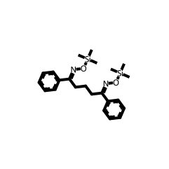 C[Si](C)(C)ON=C(CCCC(=NO[Si](C)(C)C)c1ccccc1)c1ccccc1